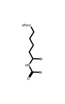 CCCCCCCCCC(Br)NC(=O)Br